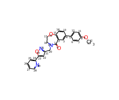 O=C1c2cc(-c3ccc(OC(F)(F)F)cc3)ccc2OCCN1Cc1cc(-c2ccccn2)on1